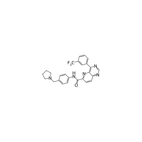 O=C(Nc1ccc(CN2CCCC2)cc1)c1ccc2ncnc(-c3cccc(C(F)(F)F)c3)c2n1